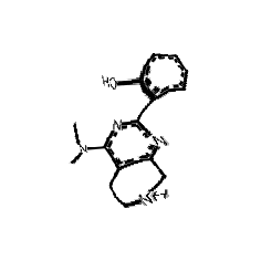 CN(C)c1nc(-c2ccccc2O)nc2c1CCNC2